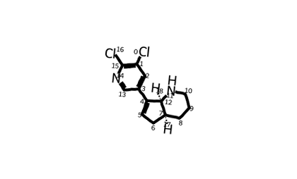 Clc1cc(C2=CC[C@@H]3CCCN[C@H]23)cnc1Cl